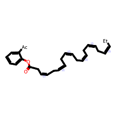 CC/C=C\C/C=C\C/C=C\C/C=C\C/C=C\C/C=C\CC(=O)Oc1ccccc1C(C)=O